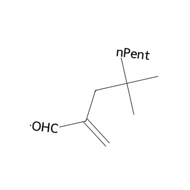 C=C([C]=O)CC(C)(C)CCCCC